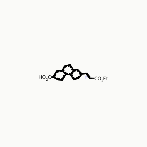 CCOC(=O)/C=C/c1ccc2c(ccc3cc(C(=O)O)ccc32)c1